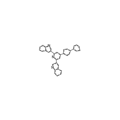 c1ccc(-c2ccc(-c3cc(-c4cnc5ccccc5c4)nc(-c4cnc5ccccc5c4)c3)cc2)cc1